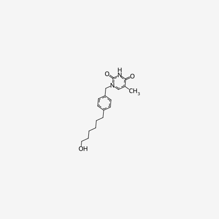 Cc1cn(Cc2ccc(CCCCCCO)cc2)c(=O)[nH]c1=O